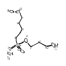 CCCCCCCCCCCCS(=O)(=O)OCCCO.[KH]